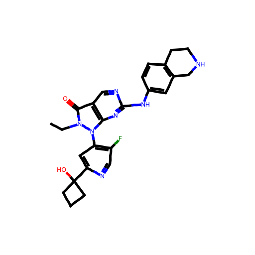 CCn1c(=O)c2cnc(Nc3ccc4c(c3)CNCC4)nc2n1-c1cc(C2(O)CCC2)ncc1F